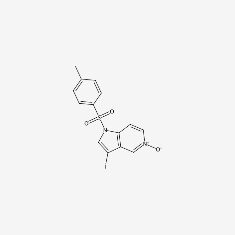 Cc1ccc(S(=O)(=O)n2cc(I)c3c[n+]([O-])ccc32)cc1